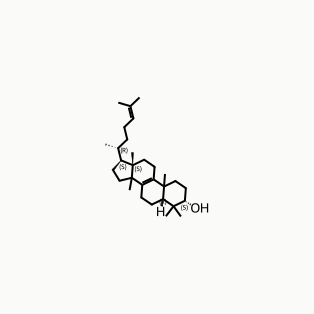 CC(C)=CCC[C@@H](C)[C@@H]1CCC2(C)C3=C(CC[C@@]12C)C1(C)CC[C@H](O)C(C)(C)[C@@H]1CC3